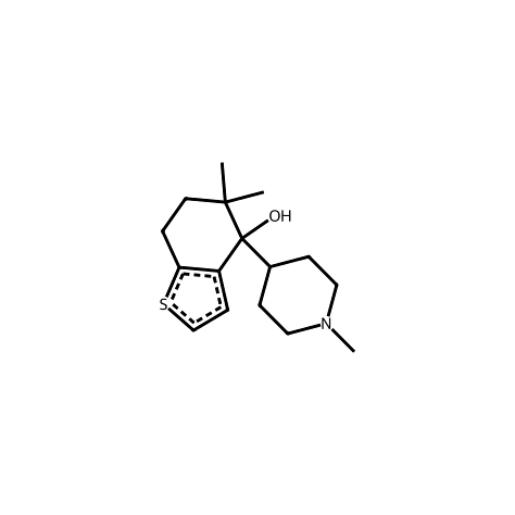 CN1CCC(C2(O)c3ccsc3CCC2(C)C)CC1